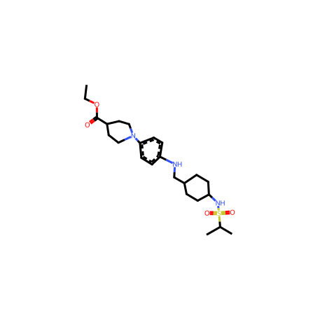 CCOC(=O)C1CCN(c2ccc(NCC3CCC(NS(=O)(=O)C(C)C)CC3)cc2)CC1